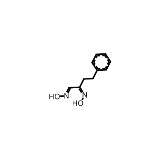 ON=CC(CCc1ccccc1)=NO